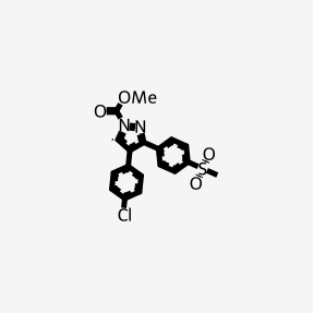 COC(=O)n1[c]c(-c2ccc(Cl)cc2)c(-c2ccc(S(C)(=O)=O)cc2)n1